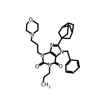 CCCn1c(=O)c2c(nc(C34CC5CC(C3)C(C5)C4)n2Cc2ccccc2)n(CCCN2CCOCC2)c1=O